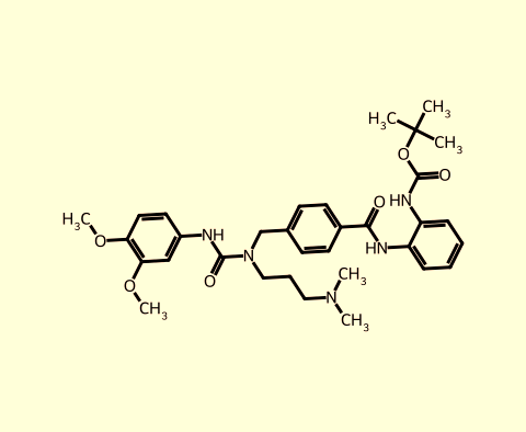 COc1ccc(NC(=O)N(CCCN(C)C)Cc2ccc(C(=O)Nc3ccccc3NC(=O)OC(C)(C)C)cc2)cc1OC